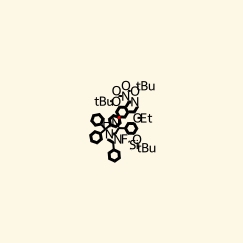 CCOc1cc(O[Si](C)(C)C(C)(C)C)c(F)c(C(Nc2ccc3c(N(C(=O)OC(C)(C)C)C(=O)OC(C)(C)C)nccc3c2)c2nc(-c3ccccc3)cn2C(c2ccccc2)(c2ccccc2)c2ccccc2)c1